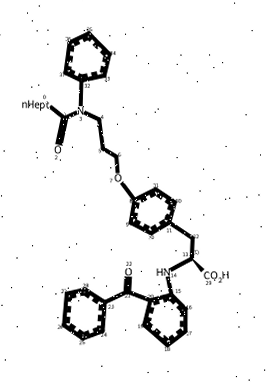 CCCCCCCC(=O)N(CCCOc1ccc(C[C@H](Nc2ccccc2C(=O)c2ccccc2)C(=O)O)cc1)c1ccccc1